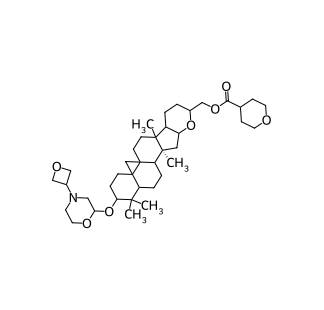 CC1(C)C(OC2CN(C3COC3)CCO2)CCC23CC24CCC2(C)C5CCC(COC(=O)C6CCOCC6)OC5C[C@@]2(C)C4CCC13